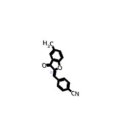 Cc1ccc2c(c1)C(=O)/C(=C/c1ccc(C#N)cc1)O2